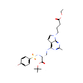 CCOC(=O)CCCn1ccc2c(NC[C@H](NS(=O)(=O)c3ccc(Br)cc3)C(=O)OC(C)(C)C)nc(C)nc21